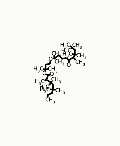 CCCC(C)(C)CC(C)(C)C(C)C(=O)OC(C)(C)CCOC(C)(C)CCCC(=O)C(C)C(C)(C)CC(C)(C)C